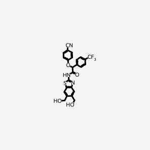 N#Cc1ccc(OC(C(=O)Nc2nc3cc(CO)c(CO)cc3s2)c2ccc(C(F)(F)F)cc2)cc1